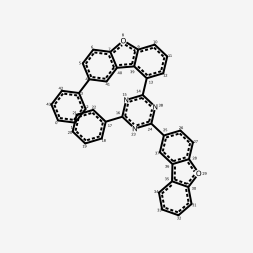 c1ccc(-c2ccc3oc4cccc(-c5nc(-c6ccccc6)nc(-c6ccc7oc8ccccc8c7c6)n5)c4c3c2)cc1